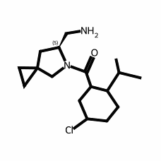 CC(C)C1CCC(Cl)CC1C(=O)N1CC2(CC2)C[C@H]1CN